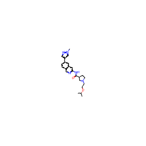 CC(C)OCCN1CCC(C(=O)Nc2cc3cc(-c4cnn(C)c4)ccc3cn2)C1